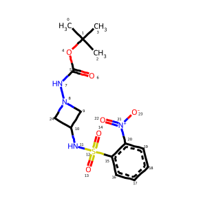 CC(C)(C)OC(=O)NN1CC(NS(=O)(=O)c2ccccc2[N+](=O)[O-])C1